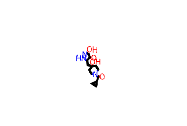 O=C1C(O)=NNC1CC1(O)CCN(C(=O)C2CC2)CC1